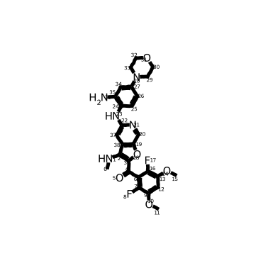 CNc1c(C(=O)c2c(F)c(OC)cc(OC)c2F)oc2cnc(Nc3ccc(N4CCOCC4)cc3N)cc12